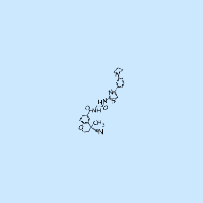 C[C@@]1(C#N)CCOc2ccc(C(=O)NCC(=O)Nc3nc(-c4cccc(N5CCC5)c4)cs3)cc21